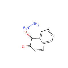 NN.O=C1C=Cc2ccccc2C1=O